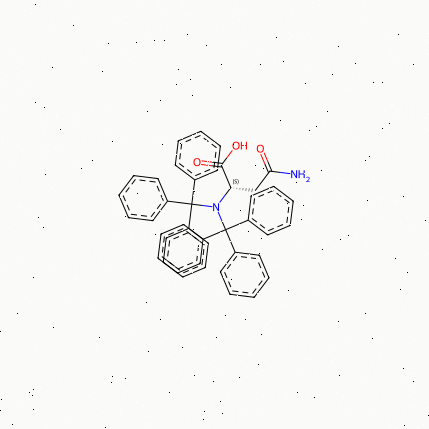 NC(=O)C[C@@H](C(=O)O)N(C(c1ccccc1)(c1ccccc1)c1ccccc1)C(c1ccccc1)(c1ccccc1)c1ccccc1